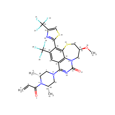 C=CC(=O)N1[C@H](C)CN(c2nc(=O)n3c4c(c(-c5nc(C(F)(F)F)cs5)c(C(F)(F)F)cc24)SC[C@@H](OC)C3)C[C@@H]1C